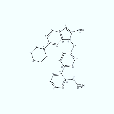 CCCCc1nc2ccc(N3CCCCC3)cc2n1Cc1ccc(-c2ccccc2OC(=O)O)cc1